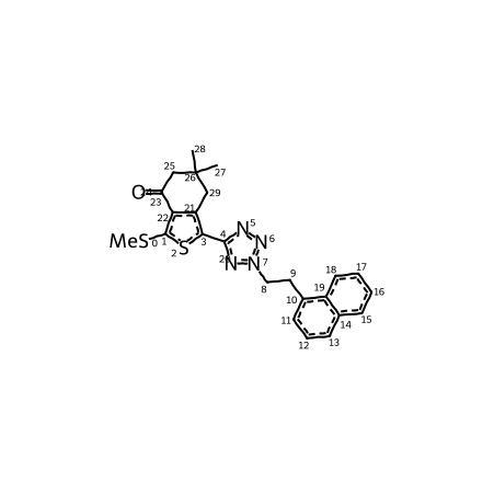 CSc1sc(-c2nnn(CCc3cccc4ccccc34)n2)c2c1C(=O)CC(C)(C)C2